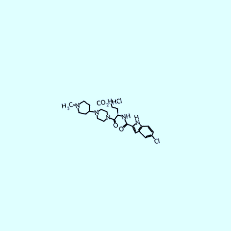 CN1CCC(N2CCN(C(=O)[C@@H](CCC(=O)O)NC(=O)c3cc4cc(Cl)ccc4[nH]3)CC2)CC1.Cl